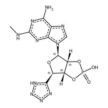 CNc1nc(N)c2ncn([C@@H]3O[C@H](c4nnn[nH]4)[C@H]4OP(=O)(O)O[C@H]43)c2n1